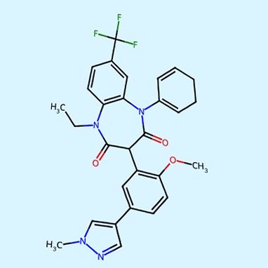 CCN1C(=O)C(c2cc(-c3cnn(C)c3)ccc2OC)C(=O)N(C2=CCCC=C2)c2cc(C(F)(F)F)ccc21